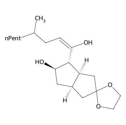 CCCCCC(C)C/C=C(/O)[C@@H]1[C@H]2CC3(C[C@H]2C[C@H]1O)OCCO3